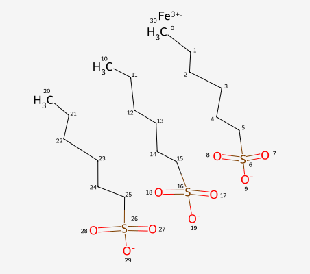 CCCCCCS(=O)(=O)[O-].CCCCCCS(=O)(=O)[O-].CCCCCCS(=O)(=O)[O-].[Fe+3]